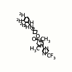 [2H]c1ccc(C([2H])([2H])N2CC3(CC(OC(=O)N4C[C@H](C)N(c5cnc(C(F)(F)F)cn5)C[C@H]4C)C3)C2)c([2H])c1[2H]